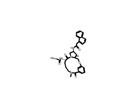 CCCCCCCCCC(=O)N[C@H]1CCCN(C)C(=O)c2cccc(c2)OC[C@@H]2C[C@H](NC(=O)Cc3cccc4ccccc34)CN2C1=O